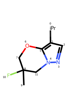 CC(C)c1cnn2c1OCC(C)(F)C2